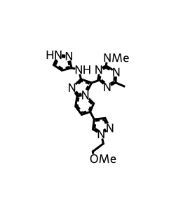 CNc1nc(C)nc(-c2c(Nc3cc[nH]n3)nc3ccc(-c4cnn(CCOC)c4)cn23)n1